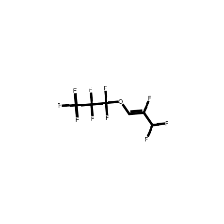 FC(=COC(F)(F)C(F)(F)C(F)(F)F)C(F)F